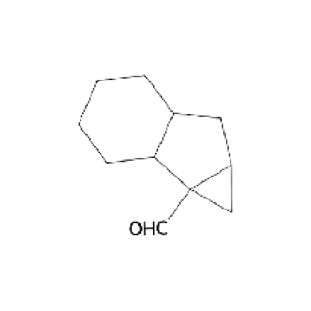 O=CC12CC1CC1CCCCC12